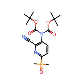 CC(C)(C)OC(=O)N(C(=O)OC(C)(C)C)c1ccc(P(C)(C)=O)nc1C#N